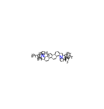 CC(C)[Si](c1cc2ccc3c4ccc5c(ccc6cc([Si](C(C)C)(C(C)C)C(C)C)n(C)c65)c4ccc3c2n1C)(C(C)C)C(C)C